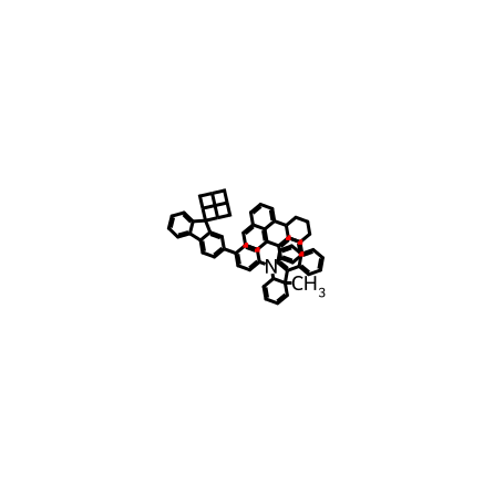 CC1(c2cccc3ccccc23)C=CC=CC1N(c1ccc(-c2ccc3c(c2)C2(c4ccccc4-3)C3CC4CC5CC2C453)cc1)c1ccccc1C1=c2c(C3CCCCC3)cccc2=CCC1